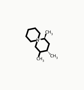 CC1C[N+]2(CCCCC2)[C@@H](C)C[C@@H]1C